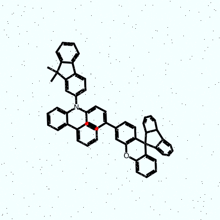 CC1(C)c2ccccc2-c2ccc(N(c3ccc(-c4ccc5c(c4)Oc4ccccc4C54c5ccccc5C5C=CC=CC54)cc3)c3ccccc3-c3ccccc3)cc21